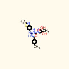 Cc1ccc(CN/C(=N/c2ccc3nc(C)sc3c2)NC(=O)NCC(C)(O)C(=O)O)cc1